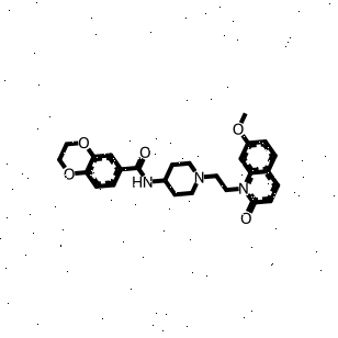 COc1ccc2ccc(=O)n(CCN3CCC(NC(=O)c4ccc5c(c4)OCCO5)CC3)c2c1